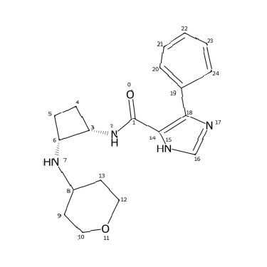 O=C(N[C@H]1CC[C@H]1NC1CCOCC1)c1[nH]cnc1-c1ccccc1